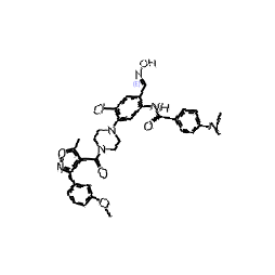 COc1cccc(-c2noc(C)c2C(=O)N2CCN(c3cc(NC(=O)c4ccc(N(C)C)cc4)c(/C=N/O)cc3Cl)CC2)c1